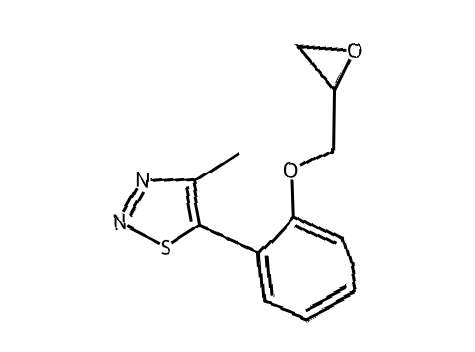 Cc1nnsc1-c1ccccc1OCC1CO1